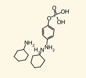 NC1CCCCC1.NC1CCCCC1.Nc1ccc(OP(=O)(O)O)cc1